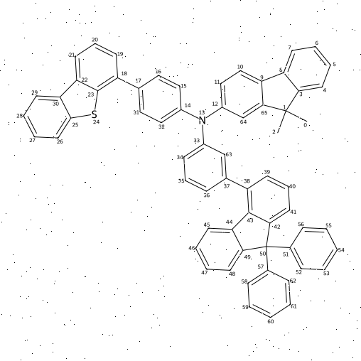 CC1(C)c2ccccc2-c2ccc(N(c3ccc(-c4cccc5c4sc4ccccc45)cc3)c3cccc(-c4cccc5c4-c4ccccc4C5(c4ccccc4)c4ccccc4)c3)cc21